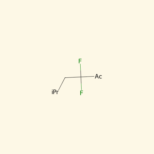 CC(=O)C(F)(F)CC(C)C